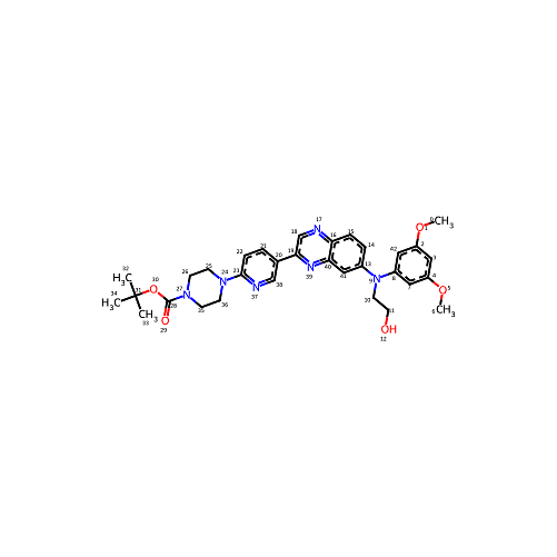 COc1cc(OC)cc(N(CCO)c2ccc3ncc(-c4ccc(N5CCN(C(=O)OC(C)(C)C)CC5)nc4)nc3c2)c1